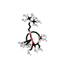 CCC1O[Si](C)(C)CCC[Si]2(CCCP(C(C)(C)C)C(C)(C)C)CCC[Si](C)(C)OC(CC)C1(C)O[Si](C)(C)CCC2